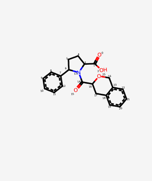 O=C(O)C1CCC(c2ccccc2)N1C(=O)C1Cc2ccccc2CO1